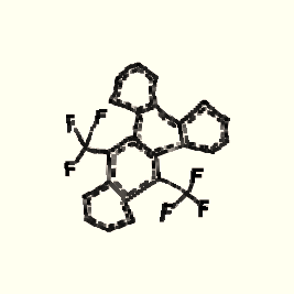 FC(F)(F)c1c2ccccc2c(C(F)(F)F)c2c3ccccc3c3ccccc3c12